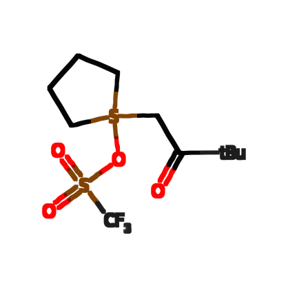 CC(C)(C)C(=O)CS1(OS(=O)(=O)C(F)(F)F)CCCC1